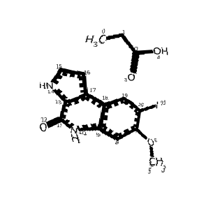 CCC(=O)O.COc1cc2[nH]c(=O)c3[nH]ccc3c2cc1I